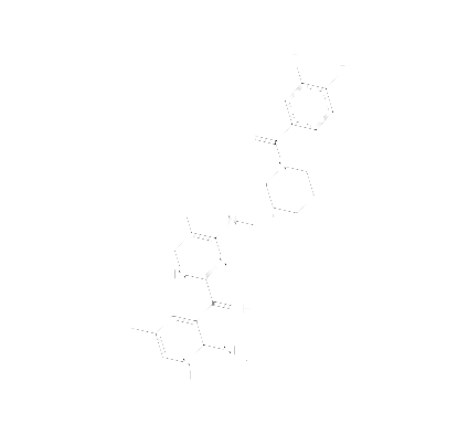 C=C(C1=CC(Cl)=CNC1N)C1=NC(NC[C@H]2CCCN(C(=O)c3ccc(F)c(F)c3)C2)=C(F)CN1